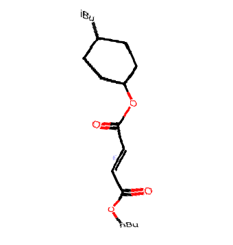 CCCCOC(=O)/C=C/C(=O)OC1CCC(C(C)CC)CC1